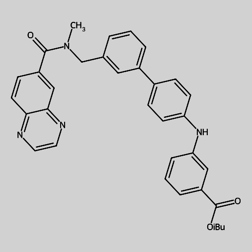 CC(C)COC(=O)c1cccc(Nc2ccc(-c3cccc(CN(C)C(=O)c4ccc5nccnc5c4)c3)cc2)c1